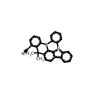 CC1(C)c2ccc3c4ccccc4n4c3c2B(c2ccccc2-4)c2cccc(C#N)c21